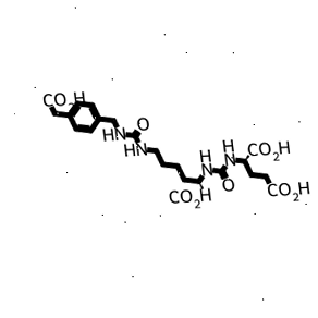 O=C(O)CC[C@H](NC(=O)N[C@@H](CCCCNC(=O)NCc1ccc(CC(=O)O)cc1)C(=O)O)C(=O)O